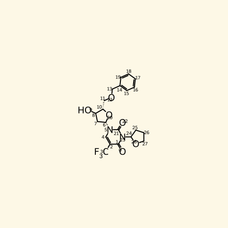 O=c1c(C(F)(F)F)cn([C@@H]2CC(O)[C@H](COCc3ccccc3)O2)c(=O)n1C1CCCO1